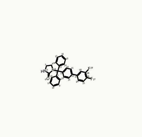 O=C1NCCN1C(c1ccccc1)(c1ccccc1)c1ccc(-c2ccc(F)c(F)c2)cc1